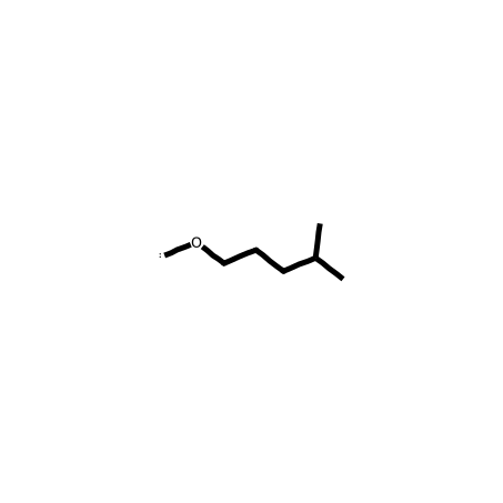 [CH]OCCCC(C)C